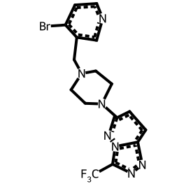 FC(F)(F)c1nnc2ccc(N3CCN(Cc4cnccc4Br)CC3)nn12